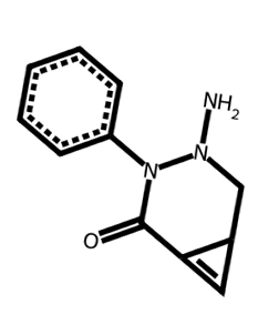 NN1CC2C=C2C(=O)N1c1ccccc1